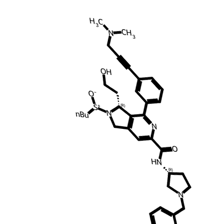 CCCC[S+]([O-])N1Cc2cc(C(=O)N[C@@H]3CCN(Cc4ccccc4)C3)nc(-c3cccc(C#CCN(C)C)c3)c2[C@H]1CCO